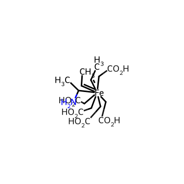 C[CH]=[Fe](=[CH]C)([CH2]C(=O)O)([CH2]C(=O)O)([CH2]C(=O)O)([CH2]C(=O)O)([CH2]C(=O)O)[CH](C)N